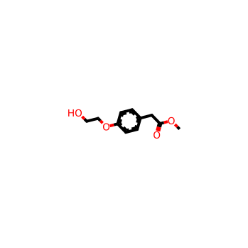 COC(=O)Cc1ccc(OCCO)cc1